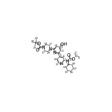 CC(C)OC(=O)N(c1cc(-c2cc(O)cc(N3CCN(C(=O)OC(C)(C)C)CC3)n2)ccn1)C1CCCCC1